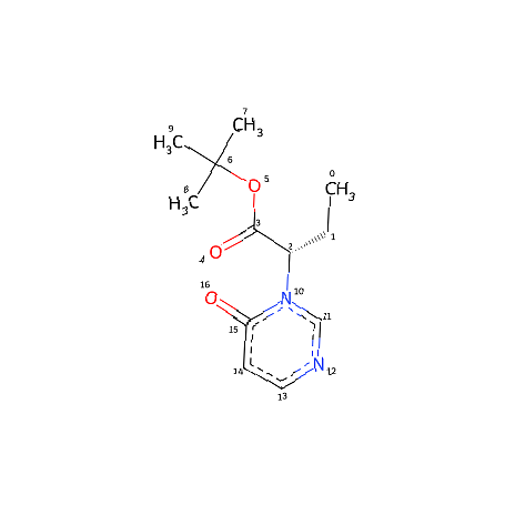 CC[C@@H](C(=O)OC(C)(C)C)n1cnccc1=O